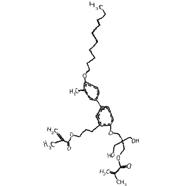 C=C(C)C(=O)OCCCc1cc(-c2ccc(OCCCCCCCCCC)c(C)c2)ccc1OCC(CO)(CO)COC(=O)C(=C)C